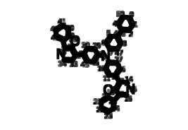 c1ccc(-c2ccc(N(c3ccc(-c4cncc5c4oc4ccccc45)cc3)c3ccc(-c4ccnc5c4oc4ccccc45)cc3)cc2)cc1